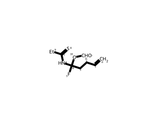 C=CCCC(F)(NC(=S)CC)O[C]=O